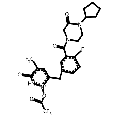 O=C(c1cc(Cc2cc(C(F)(F)F)c(=O)[nH][n+]2OC(=O)C(F)(F)F)ccc1F)N1CCN(C2CCCC2)C(=O)C1